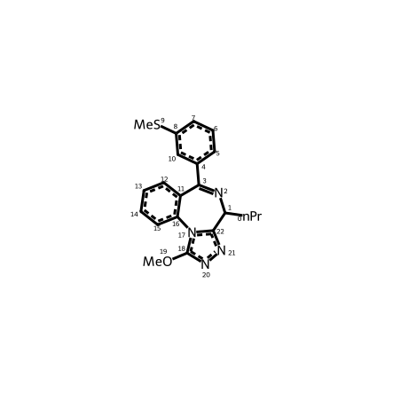 CCCC1N=C(c2cccc(SC)c2)c2ccccc2-n2c(OC)nnc21